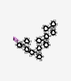 [I-].[I-].[I-].[I-].c1cc[c]([Sb]([c]2ccccc2)[c]2ccccc2)cc1.c1cc[c]([Sb]([c]2ccccc2)[c]2ccccc2)cc1.c1cc[c]([Sb]([c]2ccccc2)[c]2ccccc2)cc1.c1cc[c]([Sb]([c]2ccccc2)[c]2ccccc2)cc1